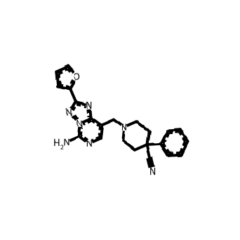 N#CC1(c2ccccc2)CCN(Cc2cnc(N)n3nc(-c4ccco4)nc23)CC1